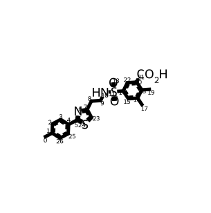 Cc1ccc(-c2nc(CCNS(=O)(=O)c3cc(C)c(C)c(C(=O)O)c3)cs2)cc1